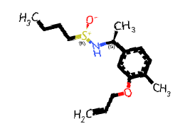 C=CCOc1cc([C@H](C)N[S@@+]([O-])CCCC)ccc1C